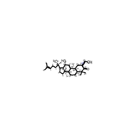 CC(C)=CCC[C@](C)(O)C1CC[C@]2(C)C1[C@H](O)CC1[C@@]3(C)C/C(=C/O)C(=O)C(C)(C)C3CC[C@]12C